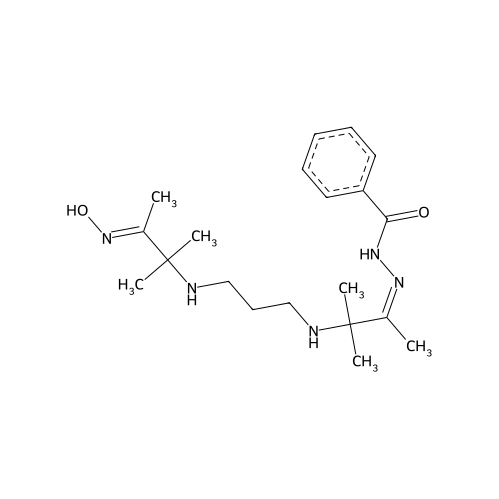 CC(=NO)C(C)(C)NCCCNC(C)(C)C(C)=NNC(=O)c1ccccc1